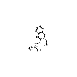 C[C](C)CC(Cc1ccccc1)C(O)CCN(C)C